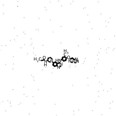 C=CC(=O)N[C@H]1CCCN(c2ccc3ncnc(Nc4ccc(Oc5cc6nncn6cn5)c(C)c4)c3c2)C1